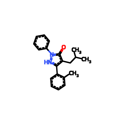 Cc1ccccc1-c1[nH]n(-c2ccccc2)c(=O)c1CC(C)C